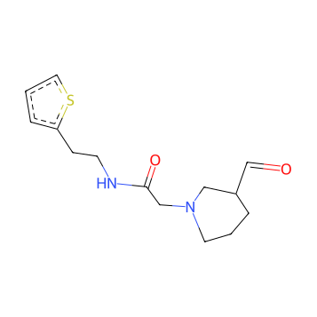 O=CC1CCCN(CC(=O)NCCc2cccs2)C1